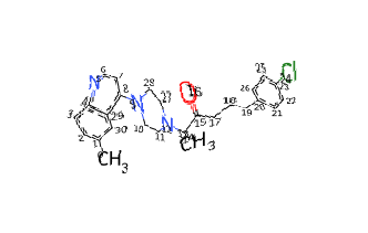 Cc1ccc2nccc(N3CCN(C(C)C(=O)CCCc4ccc(Cl)cc4)CC3)c2c1